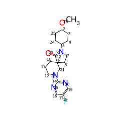 COC1CCC(N2CCC3(CCCN(c4ncc(F)cn4)C3)C2=O)CC1